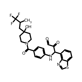 CC(CC1(O)CCN(C(=O)c2ccc(NC(C(=O)C=O)c3cccc4scnc34)cc2)CC1)C(F)(F)F